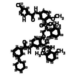 COc1ncc(NC(=O)c2cc(Cl)n[nH]2)cc1S(=O)(=O)N(COc1ncc(NC(=O)c2ccnc(N3CCCCC3)c2)cc1S(=O)(=O)Nc1c(C)cccc1C)c1c(C)cccc1C